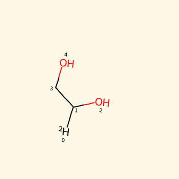 [2H]C(O)CO